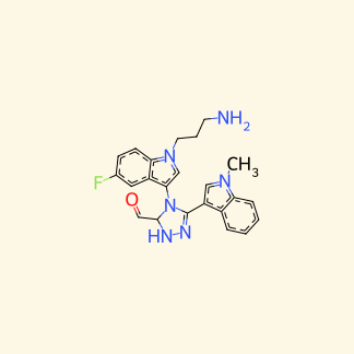 Cn1cc(C2=NNC(C=O)N2c2cn(CCCN)c3ccc(F)cc23)c2ccccc21